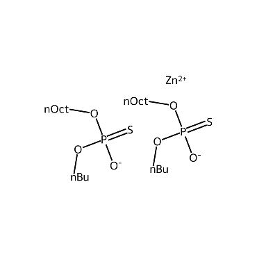 CCCCCCCCOP([O-])(=S)OCCCC.CCCCCCCCOP([O-])(=S)OCCCC.[Zn+2]